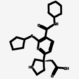 O=C(O)C[C@]1(c2ccc(C(=O)NC3CCCCC3)c(SC3CCCC3)n2)CCNC1